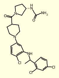 CC(Nc1cc(N2CCC(C(=O)N3CC[C@H](NC(N)=O)C3)CC2)ccc1Cl)c1ccc(Cl)cc1Cl